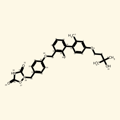 Cc1cc(OCCC(C)(C)O)ccc1-c1cccc(COc2ccc(Cn3oc(=O)[nH]c3=O)cc2)c1F